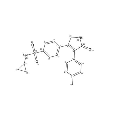 Cc1ccc(C2=C(c3ccc(S(=O)(=O)NC4CC4)cc3)CNC2=O)cc1